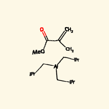 C=C(C)C(=O)OC.CC(C)[CH2][Al]([CH2]C(C)C)[CH2]C(C)C